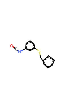 O=C=Nc1cccc(SCc2ccccc2)c1